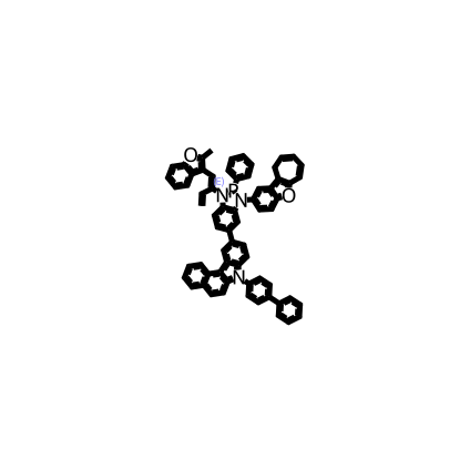 C=C/C(=C\c1c(C)oc2ccccc12)N1c2ccc(-c3ccc4c(c3)c3c5ccccc5ccc3n4-c3ccc(-c4ccccc4)cc3)cc2N(c2ccc3oc4c(c3c2)CC=CC=C4)P1c1ccccc1